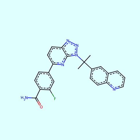 CC(C)(c1ccc2ncccc2c1)n1nnc2ccc(-c3ccc(C(N)=O)c(F)c3)nc21